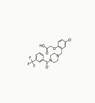 O=C(O)COc1ccc(Cl)cc1CN1CCN([S+]([O-])c2cccc(C(F)(F)F)c2)CC1